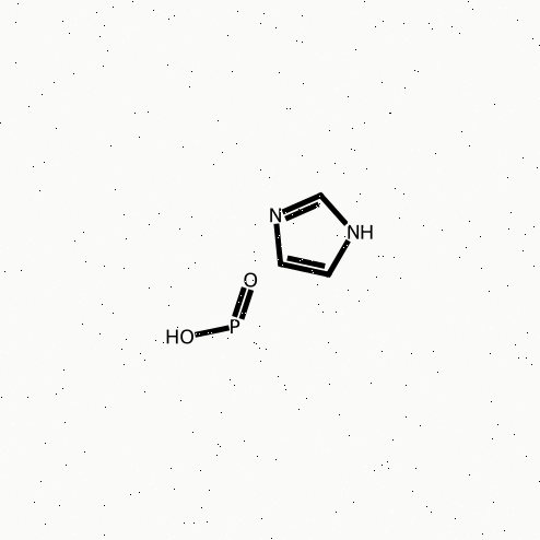 O=PO.c1c[nH]cn1